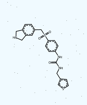 O=C(NCc1ccsc1)Nc1ccc(S(=O)(=O)Cc2ccc3c(c2)CNC3)cc1